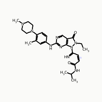 CCn1c(=O)c2cnc(Nc3ccc(N4CCN(C)CC4)c(C)c3)nc2n1C(=N)/C=C\C(=O)NC(C)C